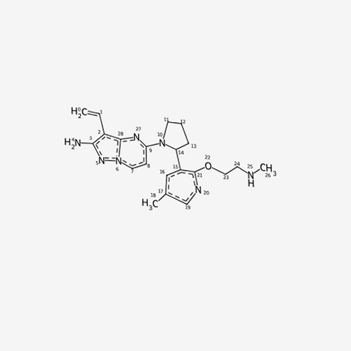 C=Cc1c(N)nn2ccc(N3CCCC3c3cc(C)cnc3OCCNC)nc12